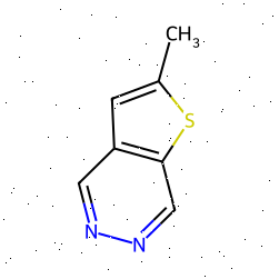 Cc1cc2cnncc2s1